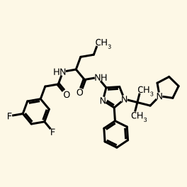 CCCC(NC(=O)Cc1cc(F)cc(F)c1)C(=O)Nc1cn(C(C)(C)CN2CCCC2)c(-c2ccccc2)n1